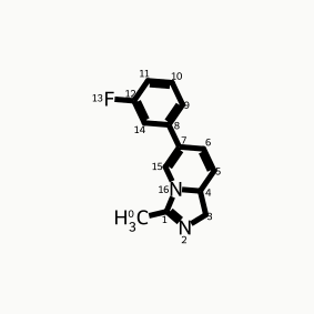 CC1=NCC2C=CC(c3cccc(F)c3)=CN12